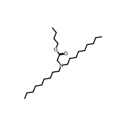 CCCCCCCCCN(CCCCCCCCC)CC(=O)OCCCC